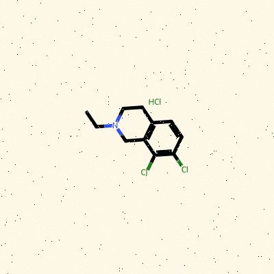 CCN1CCc2ccc(Cl)c(Cl)c2C1.Cl